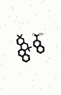 CC1(C)C=CC2=C(C1)CC(C)(C)c1c2ccc2ccccc12.O=C(O)c1ccc2ccccc2c1